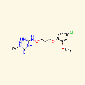 CC(C)NC(=N)NC(=N)NOCCCOc1ccc(Cl)cc1OC(F)(F)F